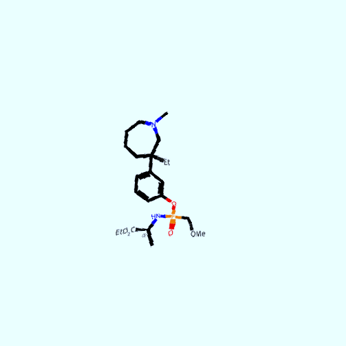 CCOC(=O)[C@H](C)NP(=O)(COC)Oc1cccc(C2(CC)CCCCN(C)C2)c1